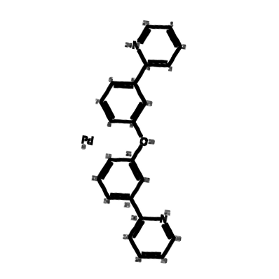 [Pd].c1ccc(-c2cccc(Oc3cccc(-c4ccccn4)c3)c2)nc1